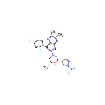 Cc1nc2nc(N3C[C@@H](C4CC4)O[C@@H](c4cnn(C(F)F)c4)C3)nc(-c3ccc(F)cc3F)c2nc1C